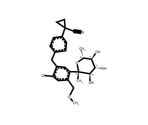 COCc1cc(Cl)c(Cc2ccc(C3(C#N)CC3)cc2)cc1[C@]1(C)O[C@H](C)[C@@H](O)[C@H](O)[C@H]1O